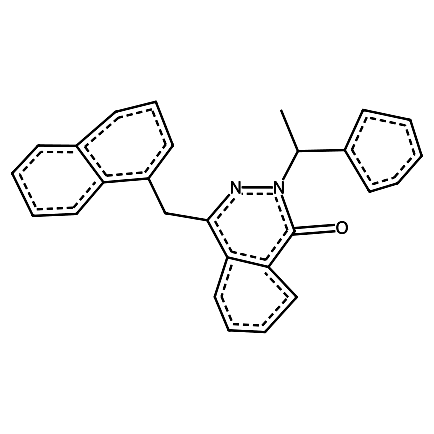 CC(c1ccccc1)n1nc(Cc2cccc3ccccc23)c2ccccc2c1=O